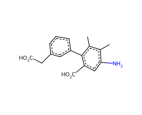 Cc1c(N)cc(C(=O)O)c(-c2cccc(CC(=O)O)c2)c1C